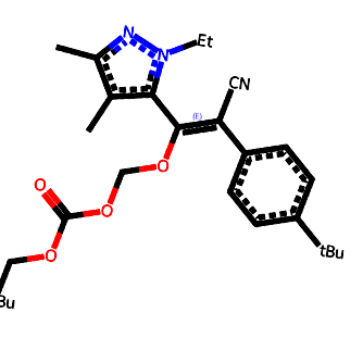 CCC(C)COC(=O)OCO/C(=C(/C#N)c1ccc(C(C)(C)C)cc1)c1c(C)c(C)nn1CC